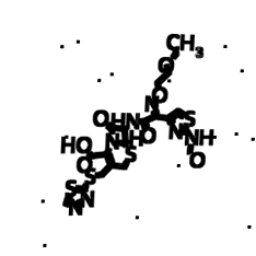 CCOCCON=C(C(=O)NC1C(=O)N2C(C(=O)O)=C(CSc3nncs3)CS[C@@H]12)c1csc(NC=O)n1